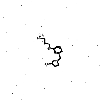 CNCCCNc1cccc(CN2CCC(N)C2)c1